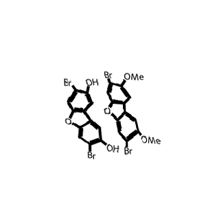 COc1cc2c(cc1Br)oc1cc(Br)c(OC)cc12.Oc1cc2c(cc1Br)oc1cc(Br)c(O)cc12